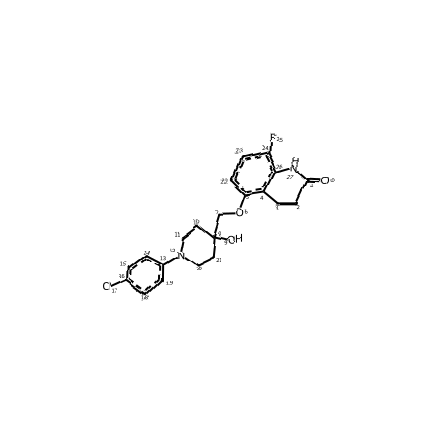 O=C1CCc2c(OCC3(O)CCN(c4ccc(Cl)cc4)CC3)ccc(F)c2N1